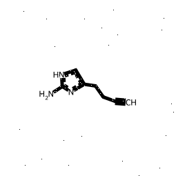 C#CCCc1c[nH]c(N)n1